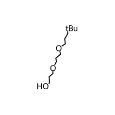 CC(C)(C)CCCOCCCOCCCO